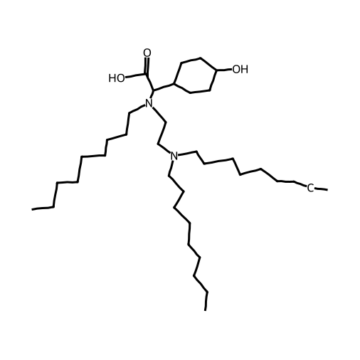 CCCCCCCCCN(CCCCCCCCC)CCN(CCCCCCCCC)C(C(=O)O)C1CCC(O)CC1